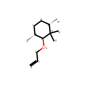 C=CCO[C@H]1[C@H](C)CC[C@H](C)C1(C)C